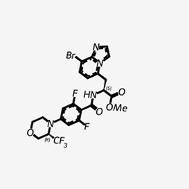 COC(=O)[C@H](Cc1ccc(Br)c2nccn12)NC(=O)c1c(F)cc(N2CCOC[C@@H]2C(F)(F)F)cc1F